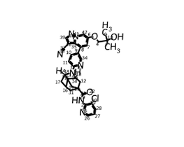 CC(C)(O)COc1cc(-c2ccc(N3[C@@H]4CC5C[C@H]3CC(C(=O)Nc3ncccc3Cl)(C5)C4)nc2)c2c(C#N)cnn2c1